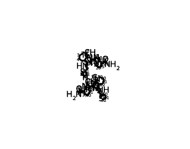 CN1CCCCc2c(NCc3cccs3)nc(-c3ncc4c(C(N)=O)cccn34)nc21.Cc1nc2c(C(N)=O)cccn2c1-c1nc(NCc2cccs2)c2c(n1)N(C)CCCC2